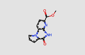 COC(=O)c1ccc2c(n1)[nH]c(=O)c1cccn12